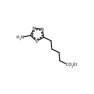 CCOC(=O)CCCCc1nnc(N)s1